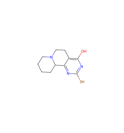 Oc1nc(S)nc2c1CCN1CCCCC21